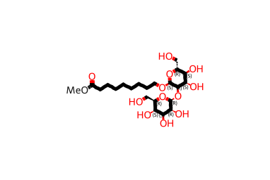 COC(=O)CCCCCCCCO[C@H]1O[C@H](CO)[C@@H](O)[C@H](O)[C@H]1O[C@H]1O[C@H](CO)[C@@H](O)[C@H](O)[C@H]1O